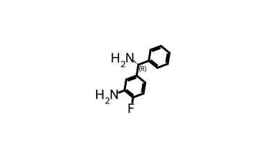 Nc1cc([C@H](N)c2ccccc2)ccc1F